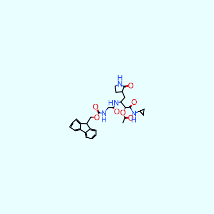 CC(=O)OC(C(=O)NC1CC1)C(CC1CCNC1=O)NC(=O)CNC(=O)OCC1c2ccccc2-c2ccccc21